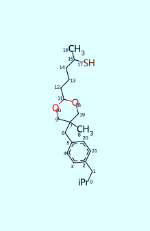 CC(C)Cc1ccc(CC2(C)COC(CCCC(C)S)OC2)cc1